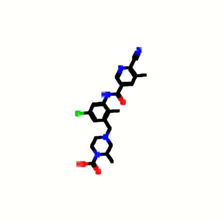 Cc1cc(C(=O)Nc2cc(Cl)cc(CN3CCN(C(=O)O)C(C)C3)c2C)cnc1C#N